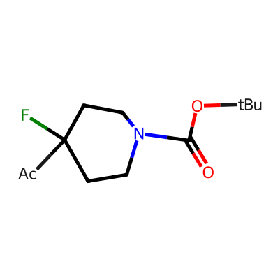 CC(=O)C1(F)CCN(C(=O)OC(C)(C)C)CC1